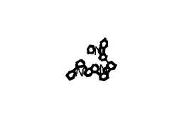 c1ccc(-n2c3ccccc3c3cc(-c4cccc5c6cccc7c8c9ccc%10c(c9ccc8n(c45)c67)c4cccc5c6ccccc6n%10c54)ccc32)cc1